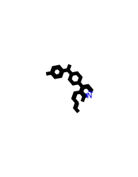 C/C=C/C=C\c1c(C2CCC(C(C)c3ccc(C)cc3)CC2)ccnc1C